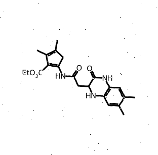 CCOC(=O)C1=C(NC(=O)CC2Nc3cc(C)c(C)cc3NC2=O)CC(C)=C1C